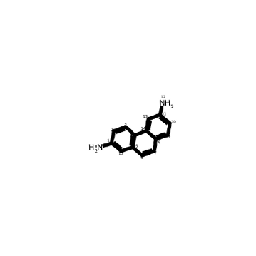 Nc1ccc2c(ccc3ccc(N)cc32)c1